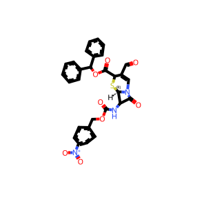 O=CC1=CN2C(=O)C(NC(=O)OCc3ccc([N+](=O)[O-])cc3)[C@H]2SC1C(=O)OC(c1ccccc1)c1ccccc1